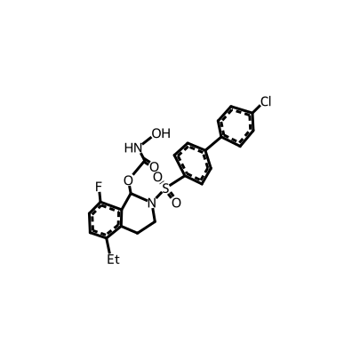 CCc1ccc(F)c2c1CCN(S(=O)(=O)c1ccc(-c3ccc(Cl)cc3)cc1)C2OC(=O)NO